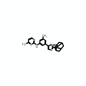 CC(=O)NC12CC3CC(C1)C(O)(c1ncc(-c4cc(C)cc(Nc5nccc(C(F)(F)F)n5)c4)s1)C(C3)C2